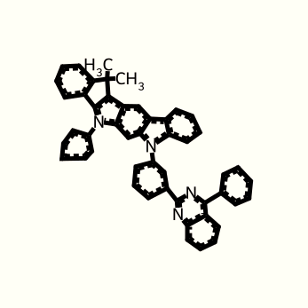 CC1(C)c2ccccc2-c2c1c1cc3c4ccccc4n(-c4cccc(-c5nc(-c6ccccc6)c6ccccc6n5)c4)c3cc1n2-c1ccccc1